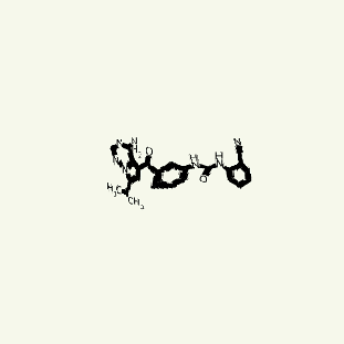 CC(C)c1cc(C(=O)c2cccc(NC(=O)Nc3ccccc3C#N)c2)c2c(N)ncnn12